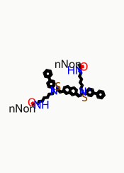 CCCCCCCCCC(=O)NCCCCCCN1/C(=C/C2=CC3=C/C(=C/c4sc5cc(-c6ccccc6)ccc5[n+]4CCCCCCNC(=O)CCCCCCCCC)CCC3CC2)Sc2cc(-c3ccccc3)ccc21